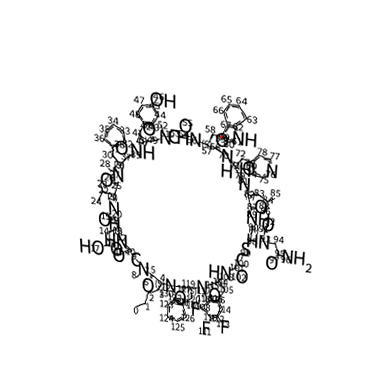 CCCC[C@H]1C(=O)N(C)CC(=O)N[C@@H](CC(=O)O)C(=O)N[C@@H](C(C)C)C(=O)N(C)[C@@H](Cc2ccccc2)C(=O)N[C@@H](Cc2ccc(O)cc2)C(=O)N(C)CC(=O)N[C@@H](Cc2c[nH]c3ccccc23)C(=O)N[C@@H](Cc2ccncc2)C(=O)N[C@@H](CC(C)C)C(=O)N[C@H](C(=O)NCC(N)=O)CSCC(=O)N[C@@H](Cc2cc(F)c(F)c(F)c2)C(=O)N(C)[C@@H](Cc2ccccc2)C(=O)N1C